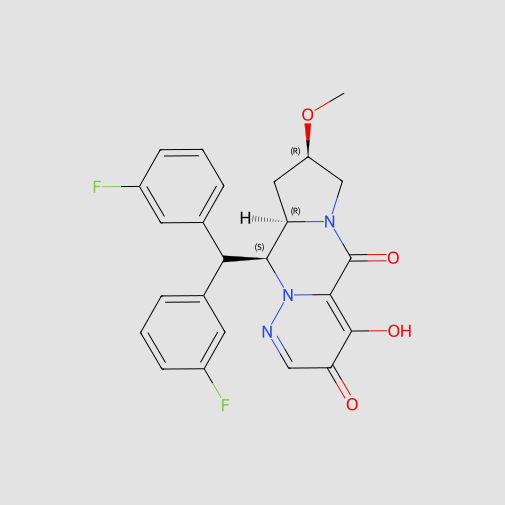 CO[C@@H]1C[C@@H]2[C@H](C(c3cccc(F)c3)c3cccc(F)c3)n3ncc(=O)c(O)c3C(=O)N2C1